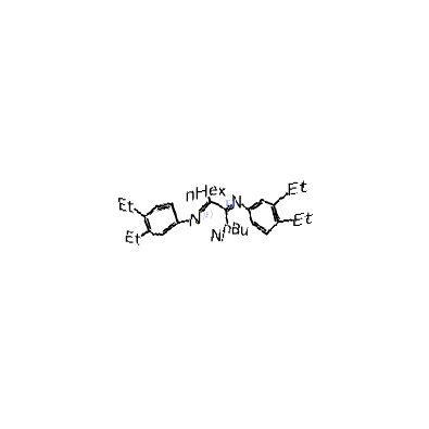 CCCCCCC(=N\c1ccc(CC)c(CC)c1)/C(CCCC)=N/c1ccc(CC)c(CC)c1.[Ni]